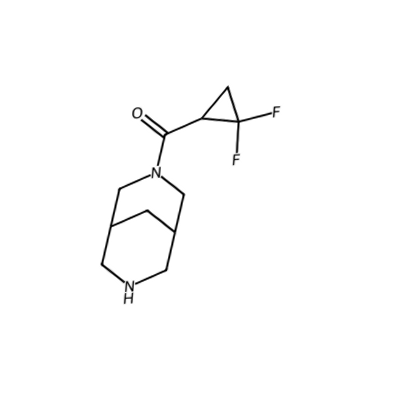 O=C(C1CC1(F)F)N1CC2CNCC(C2)C1